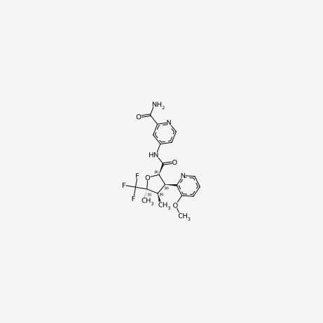 COc1cccnc1[C@H]1[C@@H](C)[C@@](C)(C(F)(F)F)O[C@H]1C(=O)Nc1ccnc(C(N)=O)c1